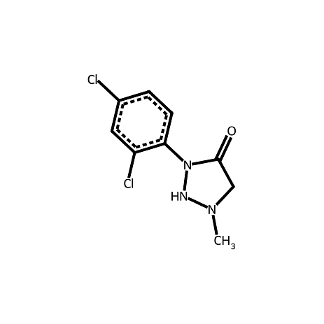 CN1CC(=O)N(c2ccc(Cl)cc2Cl)N1